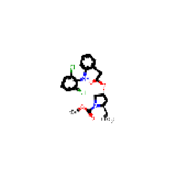 CCOC(=O)C[C@@H]1C[C@@H](OC(=O)Cc2ccccc2Nc2c(Cl)cccc2Cl)CN1C(=O)OC(C)(C)C